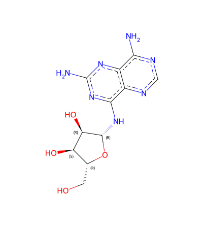 Nc1nc(N[C@@H]2O[C@H](CO)[C@@H](O)[C@H]2O)c2ncnc(N)c2n1